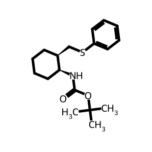 CC(C)(C)OC(=O)N[C@H]1CCCC[C@H]1CSc1ccccc1